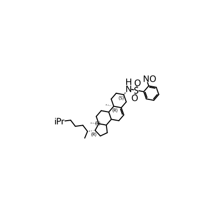 CC(C)CCCC(C)[C@H]1CCC2C3CC=C4C[C@@H](NS(=O)(=O)c5ccccc5N=O)CC[C@]4(C)C3CC[C@@]21C